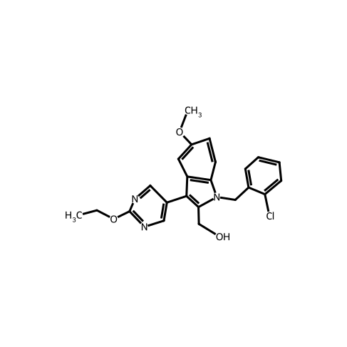 CCOc1ncc(-c2c(CO)n(Cc3ccccc3Cl)c3ccc(OC)cc23)cn1